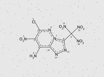 Nc1c([N+](=O)[O-])c(Cl)nn2c(C([N+](=O)[O-])([N+](=O)[O-])[N+](=O)[O-])nnc12